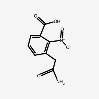 NC(=O)Cc1cccc(C(=O)O)c1[N+](=O)[O-]